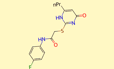 CCCc1cc(=O)nc(SCC(=O)Nc2ccc(F)cc2)[nH]1